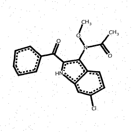 CON(C(C)=O)c1c(C(=O)c2ccccc2)[nH]c2cc(Cl)ccc12